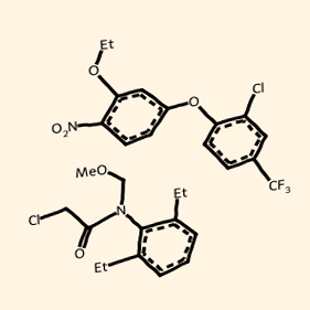 CCOc1cc(Oc2ccc(C(F)(F)F)cc2Cl)ccc1[N+](=O)[O-].CCc1cccc(CC)c1N(COC)C(=O)CCl